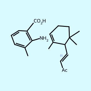 CC(=O)/C=C/C1C(C)=CCCC1(C)C.Cc1cccc(C(=O)O)c1N